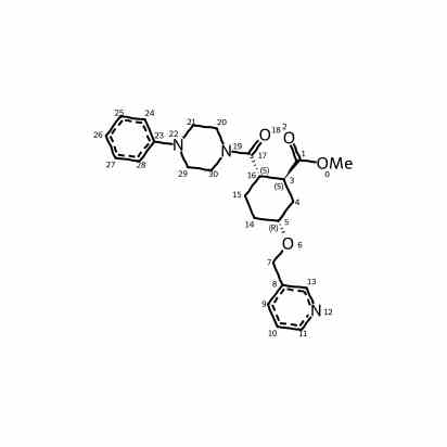 COC(=O)[C@H]1C[C@H](OCc2cccnc2)CC[C@@H]1C(=O)N1CCN(c2ccccc2)CC1